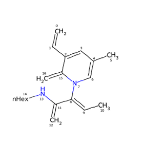 C=CC1=CC(C)=CN(/C(=C\C)C(=C)NCCCCCC)C1=C